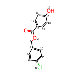 O=C(OCc1ccc(Cl)cc1)c1ccc(O)cc1